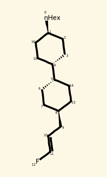 CCCCCC[C@H]1CC[C@H]([C@H]2CC[C@H](CC=CF)CC2)CC1